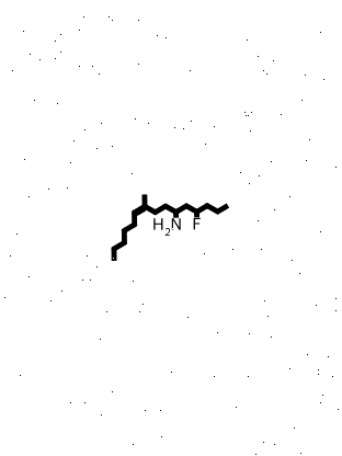 CCCCC/C=C(/C)CCC(N)CC(F)CCC